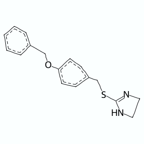 c1ccc(COc2ccc(CSC3=NCCN3)cc2)cc1